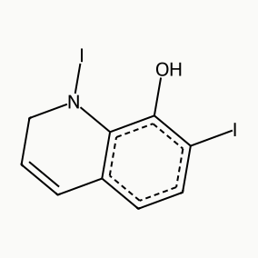 Oc1c(I)ccc2c1N(I)CC=C2